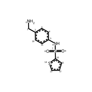 NCc1ccc(NS(=O)(=O)c2cccs2)cc1